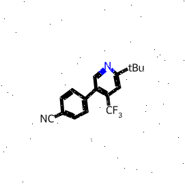 CC(C)(C)c1cc(C(F)(F)F)c(-c2ccc(C#N)cc2)cn1